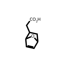 O=C(O)CC1CC2C=CC1O2